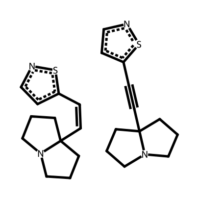 C(#CC12CCCN1CCC2)c1ccns1.C(=C/C12CCCN1CCC2)/c1ccns1